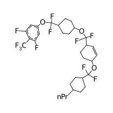 CCCC1CCC(C(F)(F)OC2C=CC(C(F)(F)OC3CCC(C(F)(F)Oc4cc(F)c(C(F)(F)F)c(F)c4)CC3)CC2)CC1